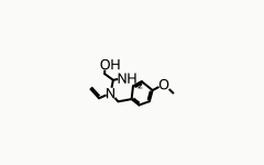 C=CN(Cc1ccc(OC)cc1)C(N)CO